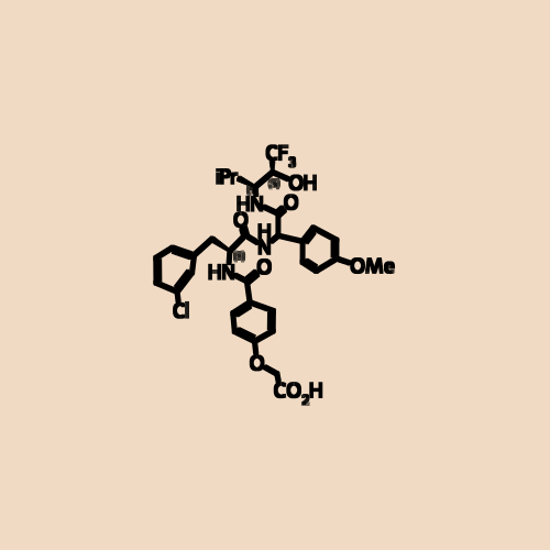 COc1ccc(C(NC(=O)[C@H](Cc2cccc(Cl)c2)NC(=O)c2ccc(OCC(=O)O)cc2)C(=O)N[C@@H](C(C)C)[C@H](O)C(F)(F)F)cc1